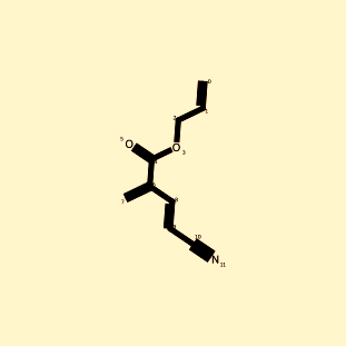 C=CCOC(=O)C(=C)C=CC#N